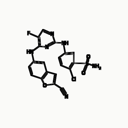 N#Cc1cc2cc(Nc3nc(Nc4ccc(Cl)c(S(N)(=O)=O)c4)ncc3F)ccc2o1